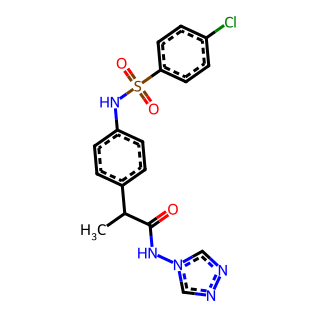 CC(C(=O)Nn1cnnc1)c1ccc(NS(=O)(=O)c2ccc(Cl)cc2)cc1